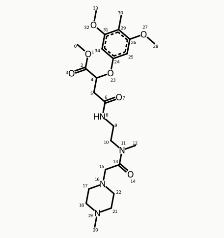 COC(=O)C(CC(=O)NCCN(C)C(=O)CN1CCN(C)CC1)Oc1cc(OC)c(C)c(OC)c1